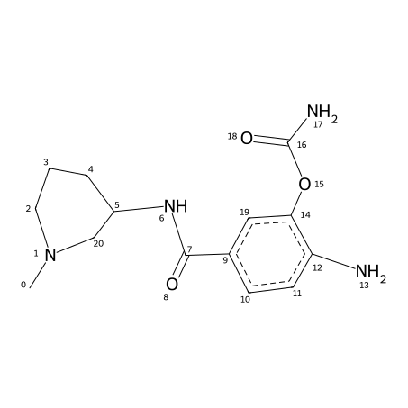 CN1CCCC(NC(=O)c2ccc(N)c(OC(N)=O)c2)C1